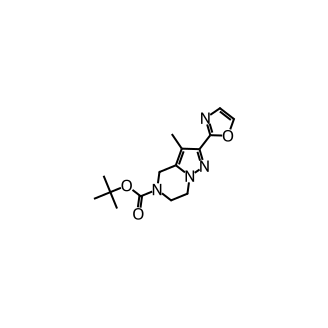 Cc1c(-c2ncco2)nn2c1CN(C(=O)OC(C)(C)C)CC2